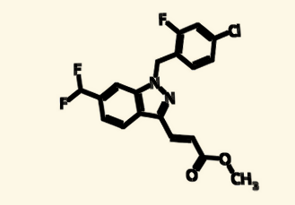 COC(=O)C=Cc1nn(Cc2ccc(Cl)cc2F)c2cc(C(F)F)ccc12